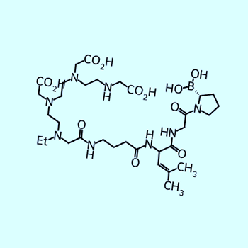 CCN(CCN(CCN(CCNCC(=O)O)CC(=O)O)CC(=O)O)CC(=O)NCCCC(=O)NC(C=C(C)C)C(=O)NCC(=O)N1CCC[C@H]1B(O)O